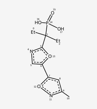 CCC(CC)(c1ncc(-c2cc(C)no2)o1)P(=O)(O)O